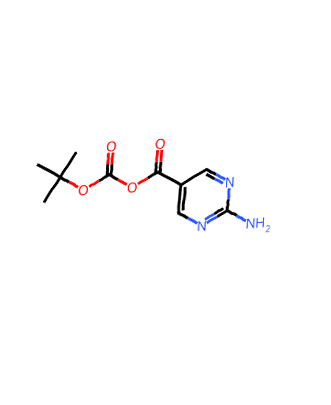 CC(C)(C)OC(=O)OC(=O)c1cnc(N)nc1